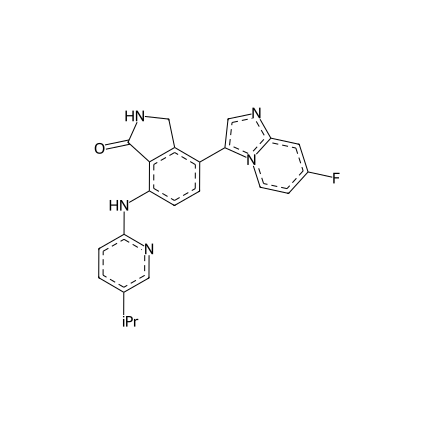 CC(C)c1ccc(Nc2ccc(-c3cnc4cc(F)ccn34)c3c2C(=O)NC3)nc1